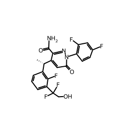 C[C@H](c1cc(=O)n(-c2ccc(F)cc2F)nc1C(N)=O)c1cccc(C(F)(F)CO)c1F